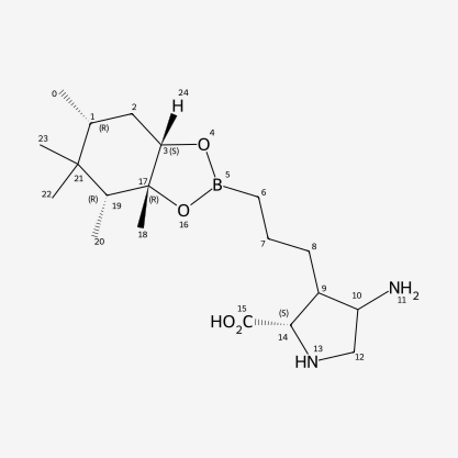 C[C@@H]1C[C@@H]2OB(CCCC3C(N)CN[C@@H]3C(=O)O)O[C@]2(C)[C@H](C)C1(C)C